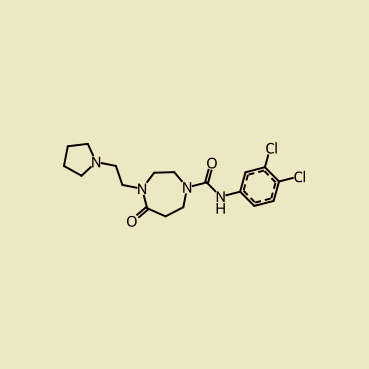 O=C1CCN(C(=O)Nc2ccc(Cl)c(Cl)c2)CCN1CCN1CCCC1